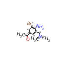 CC(=O)c1cc(Br)c(N)c(CN(C)C)c1